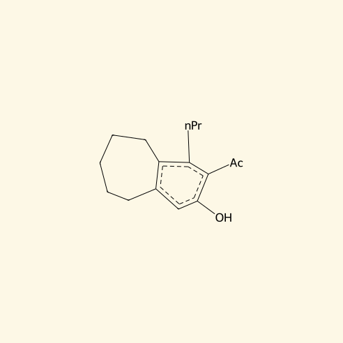 CCCc1c2c(cc(O)c1C(C)=O)CCCCC2